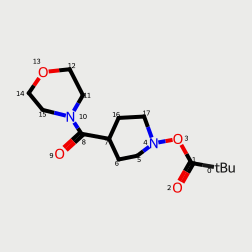 CC(C)(C)C(=O)ON1CCC(C(=O)N2CCOCC2)CC1